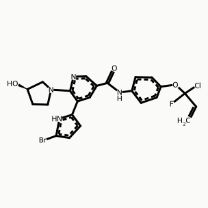 C=CC(F)(Cl)Oc1ccc(NC(=O)c2cnc(N3CC[C@@H](O)C3)c(-c3ccc(Br)[nH]3)c2)cc1